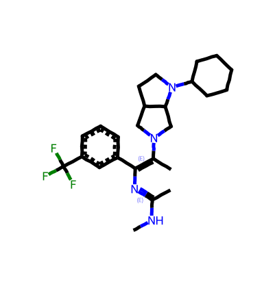 CN/C(C)=N/C(=C(\C)N1CC2CCN(C3CCCCC3)C2C1)c1cccc(C(F)(F)F)c1